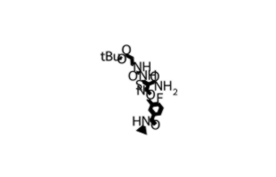 CC(C)(C)OC(=O)CCNC(=O)Nc1snc(OCc2cc(C(=O)NC3CC3)ccc2F)c1C(N)=O